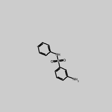 Nc1cccc(S(=O)(=O)Nc2cc[c]cc2)c1